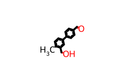 Cc1ccc(-c2ccc(C=O)cc2)cc1CO